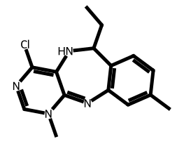 CCC1NC2=C(Cl)N=CN(C)C2=Nc2cc(C)ccc21